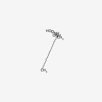 CCCCCCCCCCCCCCCCCCCCCCCCCCCCC(C)NC(=O)Nc1ccc(O)cc1